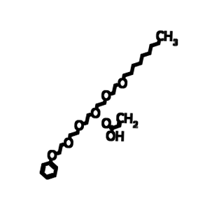 C=CC(=O)O.CCCCCCCCCOCCOCCOCCOCCOCCOc1ccccc1